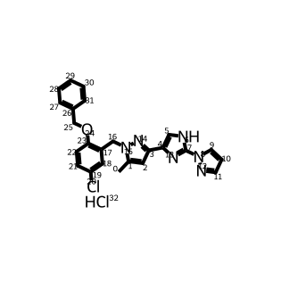 Cc1cc(-c2c[nH]c(-n3cccn3)n2)nn1Cc1cc(Cl)ccc1OCc1ccccc1.Cl